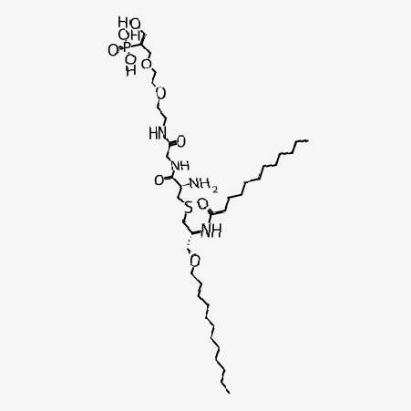 CCCCCCCCCCCCOC[C@H](CSC[C@H](N)C(=O)NCC(=O)NCCOCCOCC(CO)P(=O)(O)O)NC(=O)CCCCCCCCCCC